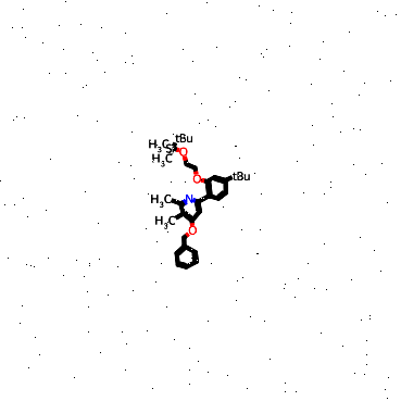 Cc1nc(-c2ccc(C(C)(C)C)cc2OCCO[Si](C)(C)C(C)(C)C)cc(OCc2ccccc2)c1C